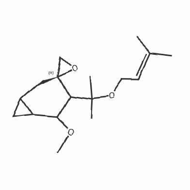 COC1C2CC2C[C@]2(CO2)C1C(C)(C)OCC=C(C)C